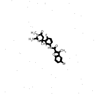 Cc1c(C(=O)Nc2ccc(F)c(C3(C)CC(=O)N(C)C(N)=N3)c2)oc2ccc(Br)cc12